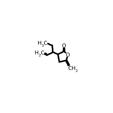 C=CC(CC)C1CC(=C)OC1=O